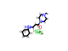 CN1CCN(C(=O)CCNC2CCCCC2)CC1.Cl.Cl